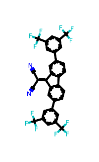 N#CC(C#N)=C1c2cc(-c3cc(C(F)(F)F)cc(C(F)(F)F)c3)ccc2-c2ccc(-c3cc(C(F)(F)F)cc(C(F)(F)F)c3)cc21